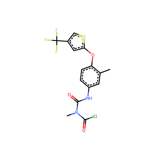 Cc1cc(NC(=O)N(C)C(=O)Cl)ccc1Oc1cc(C(F)(F)F)cs1